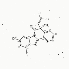 CC1(C=C(F)F)C(=O)n2c(cc3c(Cl)cc(Cl)cc32)-c2ccccc21